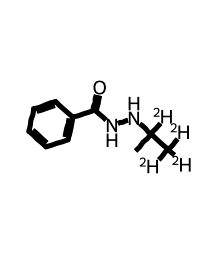 [2H]C([2H])([2H])C([2H])(C)NNC(=O)c1ccccc1